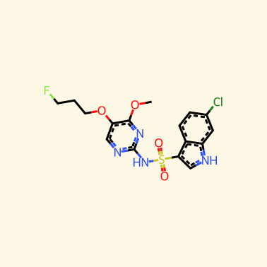 COc1nc(NS(=O)(=O)c2c[nH]c3cc(Cl)ccc23)ncc1OCCCF